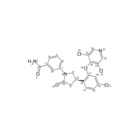 NC(=O)c1cccc(N2C[C@@H](c3ccc(Cl)cc3Oc3c(Cl)cncc3Cl)CC2=O)c1